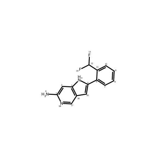 Nc1cc2[nH]c(-c3ccccc3C(F)F)cc2cn1